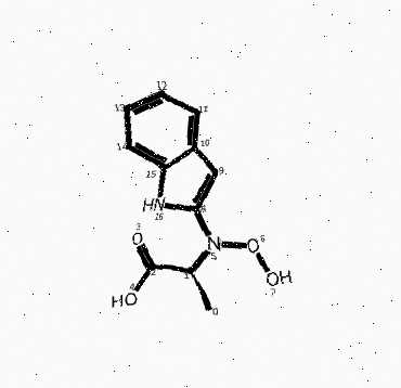 C[C@@H](C(=O)O)N(OO)c1cc2ccccc2[nH]1